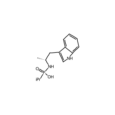 CC(C)P(=O)(O)N[C@H](C)Cc1c[nH]c2ccccc12